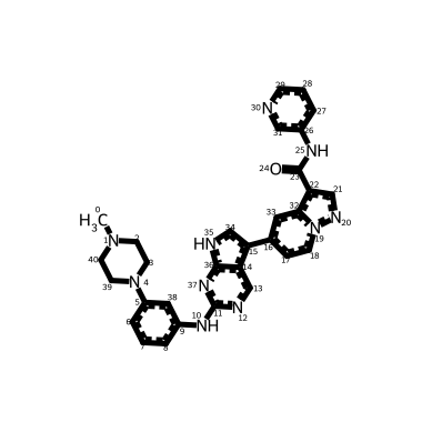 CN1CCN(c2cccc(Nc3ncc4c(-c5ccn6ncc(C(=O)Nc7cccnc7)c6c5)c[nH]c4n3)c2)CC1